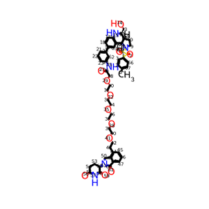 Cc1ccc(S(=O)(=O)N2CC[C@@H]3[C@H](CO)Nc4ccc(-c5cccc(NC(=O)COCCOCCOCCOCCOCCc6cccc7c6CN(C6CCC(=O)NC6=O)C7=O)c5)cc4[C@@H]32)cc1